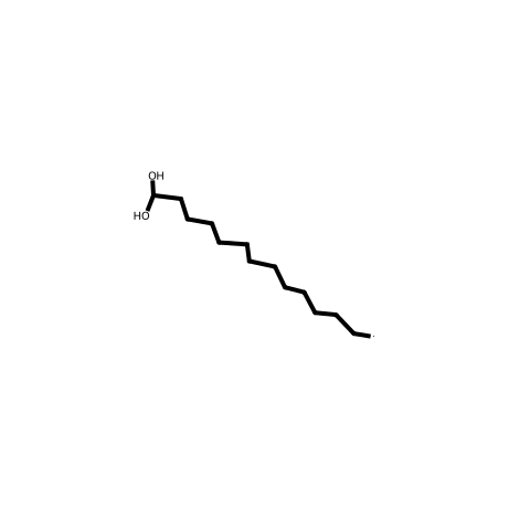 [CH2]CCCCCCCCCCCCC(O)O